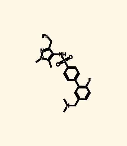 Cc1c(NS(=O)(=O)c2ccc(-c3cc(CN(C)C)ccc3F)cc2)c(CC(C)C)nn1C